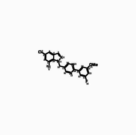 [2H]c1cc(Cl)cc2cnn(Cc3cnc(-c4cc(F)cc(OC)c4)nc3)c12